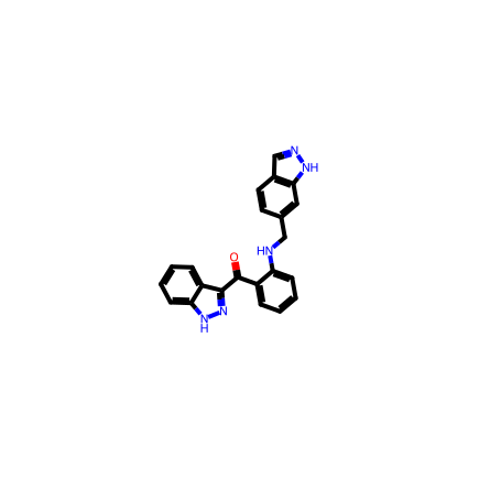 O=C(c1ccccc1NCc1ccc2cn[nH]c2c1)c1n[nH]c2ccccc12